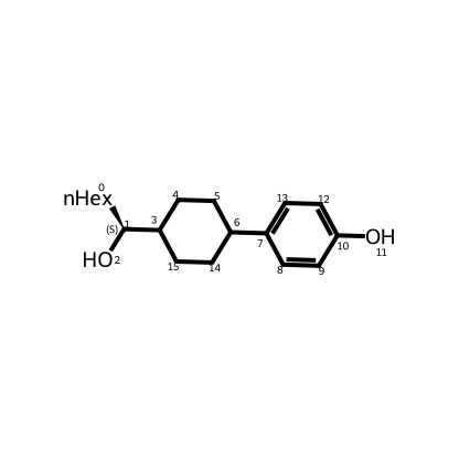 CCCCCC[C@H](O)C1CCC(c2ccc(O)cc2)CC1